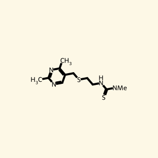 CNC(=S)NCCSCc1cnc(C)nc1C